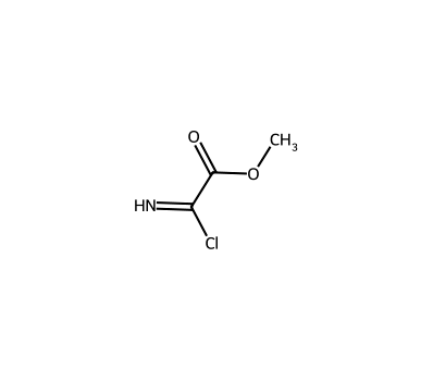 COC(=O)C(=N)Cl